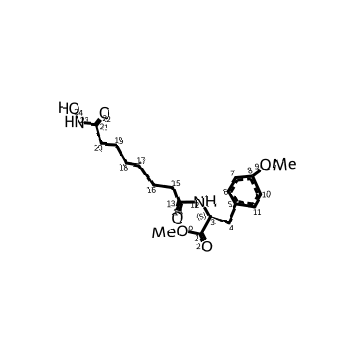 COC(=O)[C@H](Cc1ccc(OC)cc1)NC(=O)CCCCCCC(=O)NO